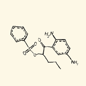 CCCC(OS(=O)(=O)c1ccccc1)C(=O)c1cc(N)ccc1N